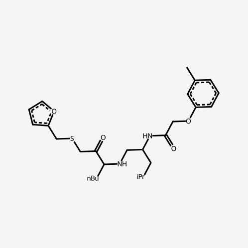 CCCCC(NCC(CC(C)C)NC(=O)COc1cccc(C)c1)C(=O)CSCc1ccco1